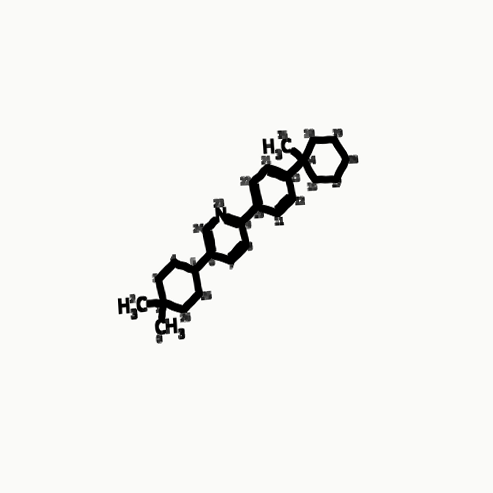 CC1(C)CCC(c2ccc(-c3ccc(C4(C)CCCCC4)cc3)nc2)CC1